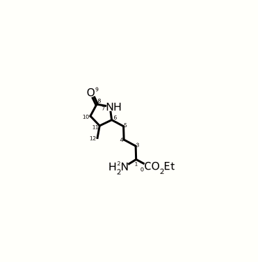 CCOC(=O)C(N)CCCC1NC(=O)CC1C